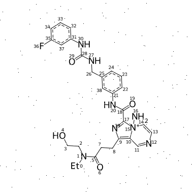 CCN(CCO)C(=O)CCC1=C2C=NC=C[N+]2(N)C(C(=O)Nc2cccc(CNC(=O)Nc3cccc(F)c3)c2)=N1